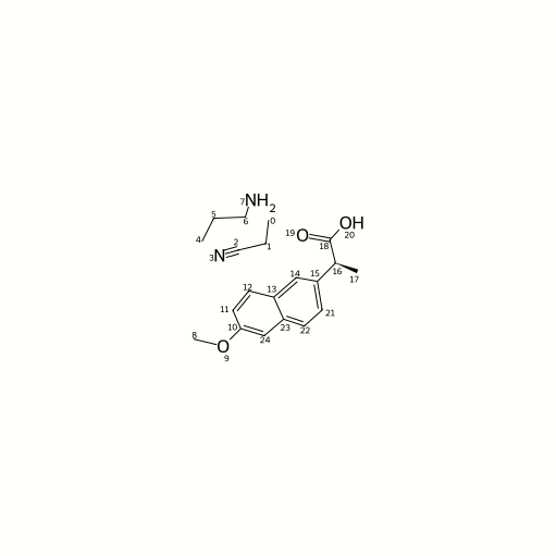 CCC#N.CCCN.COc1ccc2cc([C@H](C)C(=O)O)ccc2c1